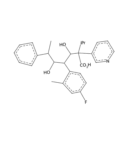 Cc1cc(F)ccc1C(C(O)C(C)c1ccccc1)C(O)C(C(=O)O)(c1cccnc1)C(C)C